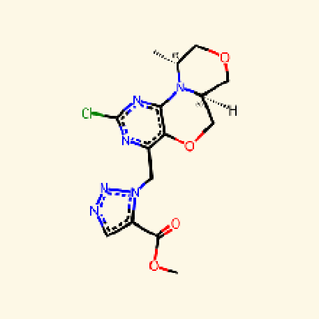 COC(=O)c1cnnn1Cc1nc(Cl)nc2c1OC[C@@H]1COC[C@@H](C)N21